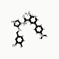 CCc1cc(CO[C@H]2CNC[C@@H]2NC(=O)c2cc(-c3ccc(N(C)C)cc3)cnc2N)ccc1C